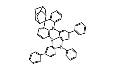 c1ccc(-c2ccc3c(c2)B2c4cccc5c4N(c4ccccc4C54C5CC6CC(C5)CC4C6)c4cc(-c5ccccc5)cc(c42)N3c2ccccc2)cc1